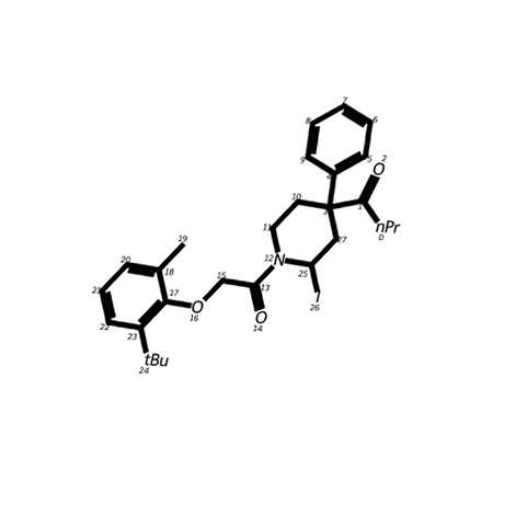 CCCC(=O)C1(c2ccccc2)CCN(C(=O)COc2c(C)cccc2C(C)(C)C)C(I)C1